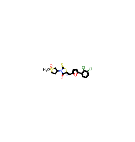 C=S1(=O)CCC(N2C(=O)/C(=C/c3ccc(-c4cccc(Cl)c4Cl)o3)SC2=S)C1